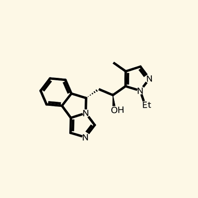 CCn1ncc(C)c1[C@@H](O)C[C@H]1c2ccccc2-c2cncn21